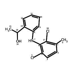 Cc1ccc(Cl)c(Nc2ccccc2C(C)O)c1Cl